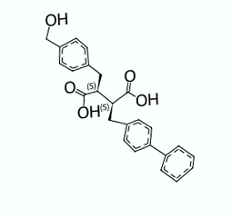 O=C(O)[C@@H](Cc1ccc(CO)cc1)[C@H](Cc1ccc(-c2ccccc2)cc1)C(=O)O